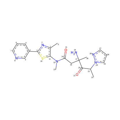 Cc1nc(-c2cccnc2)sc1N(C)C(=O)CC(C)(N)C(=O)C(C)n1cccn1